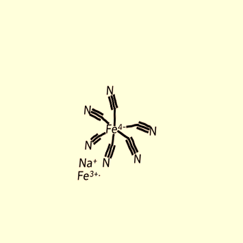 N#[C][Fe-4]([C]#N)([C]#N)([C]#N)([C]#N)[C]#N.[Fe+3].[Na+]